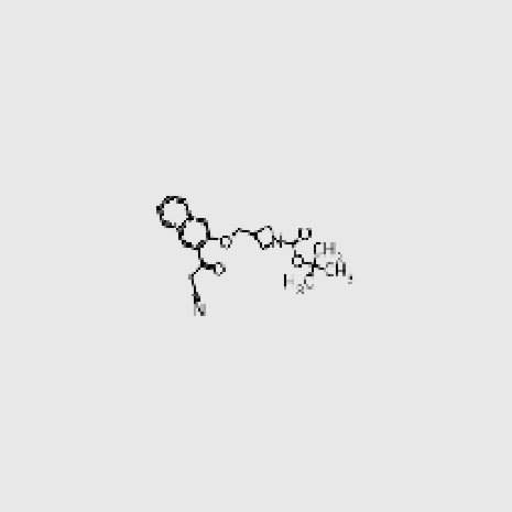 CC(C)(C)OC(=O)N1CC(COc2cc3ccccc3cc2C(=O)CC#N)C1